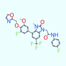 COc1cc(-c2cc(C(F)(F)F)cc3c2n(C)c(=O)n3CC(=O)Nc2ccc(F)cc2)cc(F)c1OCc1ncco1